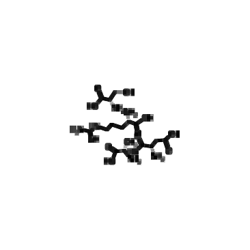 C[C@H](N)C(=O)O.N=C(N)NCCC[C@H](N)C(=O)O.N[C@@H](CC(=O)O)C(=O)O.N[C@@H](CO)C(=O)O